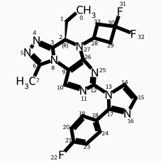 CC[C@@H]1c2nnc(C)n2-c2cnc(-n3ccnc3-c3ccc(F)cc3)nc2N1C1CC(F)(F)C1